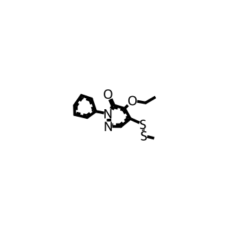 CCOc1c(SSC)cnn(-c2ccccc2)c1=O